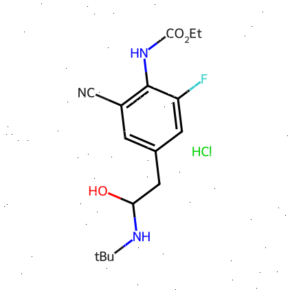 CCOC(=O)Nc1c(F)cc(CC(O)NC(C)(C)C)cc1C#N.Cl